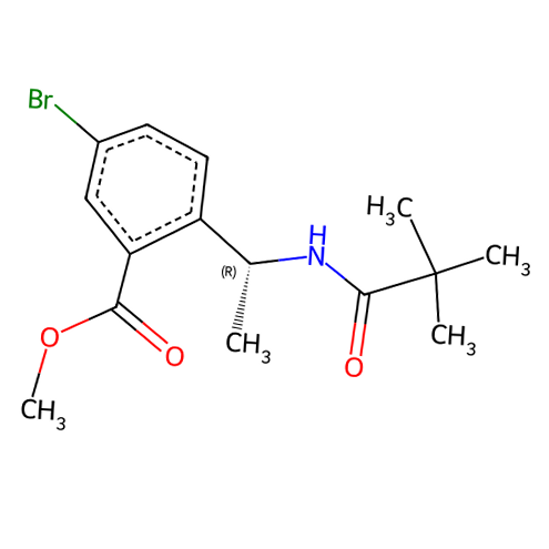 COC(=O)c1cc(Br)ccc1[C@@H](C)NC(=O)C(C)(C)C